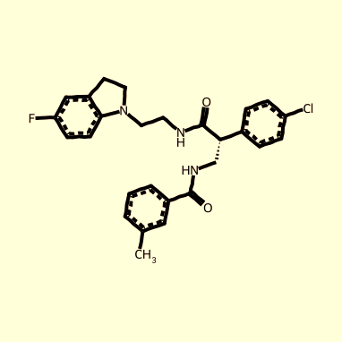 Cc1cccc(C(=O)NC[C@H](C(=O)NCCN2CCc3cc(F)ccc32)c2ccc(Cl)cc2)c1